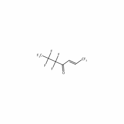 O=C(C=CC(F)(F)F)C(F)(F)C(F)(F)C(F)(F)F